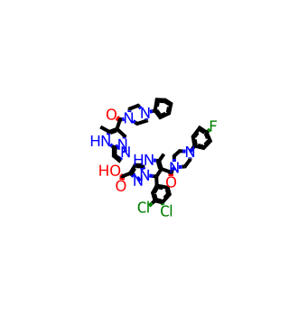 CC1=C(C(=O)N2CCN(c3ccc(F)cc3)CC2)C(c2ccc(Cl)c(Cl)c2)n2nc(C(=O)O)cc2N1.CC1=C(C(=O)N2CCN(c3ccccc3)CC2)Cn2nccc2N1